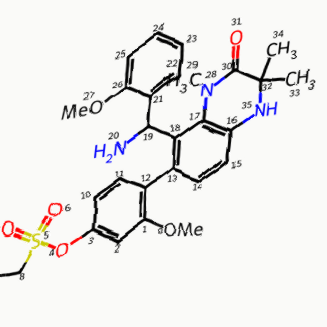 COc1cc(OS(=O)(=O)CC(C)C)ccc1-c1ccc2c(c1C(N)c1ccccc1OC)N(C)C(=O)C(C)(C)N2